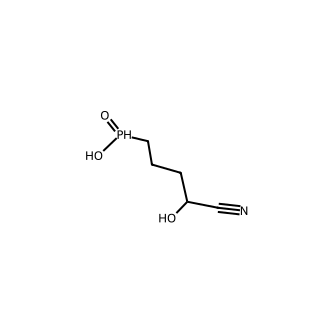 N#CC(O)CCC[PH](=O)O